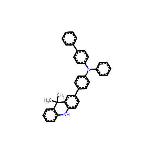 CC1(C)c2ccccc2Nc2ccc(-c3ccc(N(c4ccccc4)c4ccc(-c5ccccc5)cc4)cc3)cc21